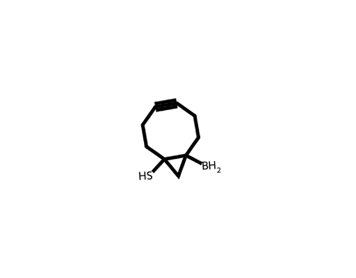 BC12CCC#CCCC1(S)C2